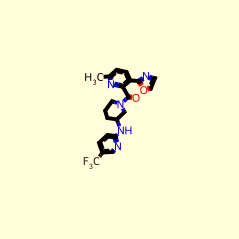 Cc1ccc(-c2ncco2)c(C(=O)N2CCCC(Nc3ccc(C(F)(F)F)cn3)C2)n1